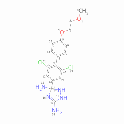 COCCOc1ccc(-c2c(Cl)cc(C3(N)N=C(N)NN3)cc2Cl)cc1